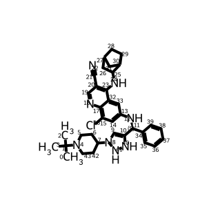 CC(C)(C)N1CCC(N2C=C([C@@H](Nc3cc(Cl)c4ncc(C#N)c(NC5CC6CCC5C6)c4c3)c3ccccc3)NN2)CC1